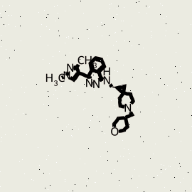 Cc1nn(C)cc1-c1nnc(NC[C@@H]2CC23CCN(CC2CCOCC2)CC3)c2ccccc12